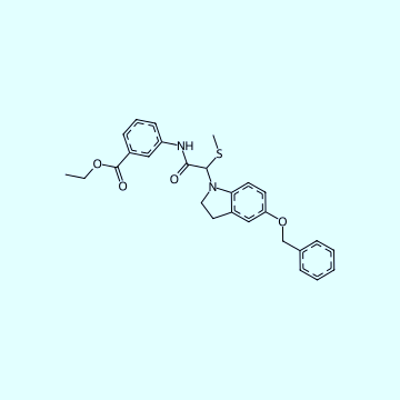 CCOC(=O)c1cccc(NC(=O)C(SC)N2CCc3cc(OCc4ccccc4)ccc32)c1